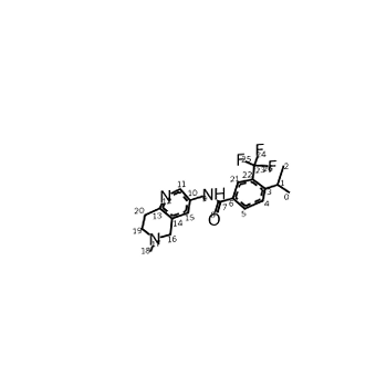 CC(C)c1ccc(C(=O)Nc2cnc3c(c2)CN(C)CC3)cc1C(F)(F)F